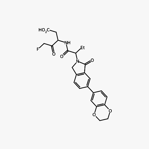 CCC(C(=O)NC(CC(=O)O)C(=O)CF)N1Cc2ccc(-c3ccc4c(c3)OCCO4)cc2C1=O